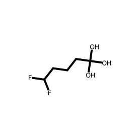 OC(O)(O)CCCC(F)F